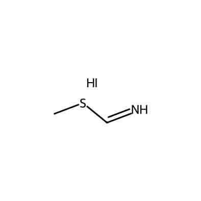 CSC=N.I